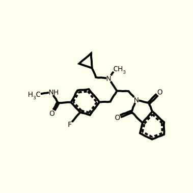 CNC(=O)c1ccc(CC(CN2C(=O)c3ccccc3C2=O)N(C)CC2CC2)cc1F